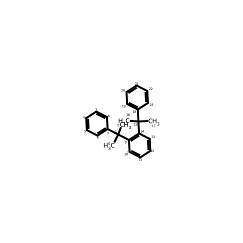 CC(C)(c1ccccc1)c1[c]cccc1C(C)(C)c1ccccc1